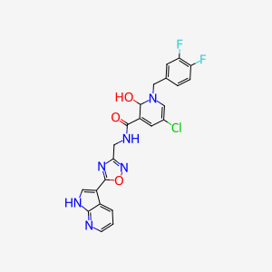 O=C(NCc1noc(-c2c[nH]c3ncccc23)n1)C1=CC(Cl)=CN(Cc2ccc(F)c(F)c2)C1O